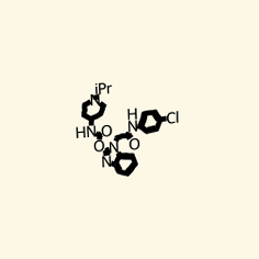 CC(C)N1CCC(NC(=O)Oc2nc3ccccc3n2CC(=O)Nc2ccc(Cl)cc2)CC1